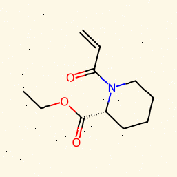 C=CC(=O)N1CCCC[C@@H]1C(=O)OCC